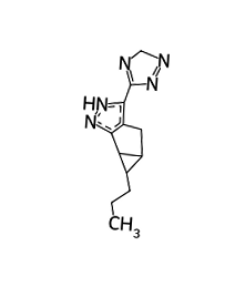 CCCC1C2Cc3c(n[nH]c3C3=NCN=N3)C12